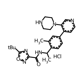 Cc1cc(-c2ccncc2N2CCNCC2)ccc1C(C)NC(=O)c1noc(C(C)(C)C)n1.Cl